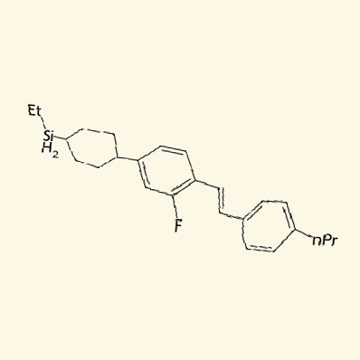 CCCc1ccc(C=Cc2ccc(C3CCC([SiH2]CC)CC3)cc2F)cc1